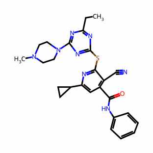 CCc1nc(Sc2nc(C3CC3)cc(C(=O)Nc3ccccc3)c2C#N)nc(N2CCN(C)CC2)n1